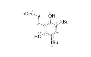 CCCCCCCCCCCCc1c(O)c(C(C)(C)C)cc(C(C)(C)C)c1O